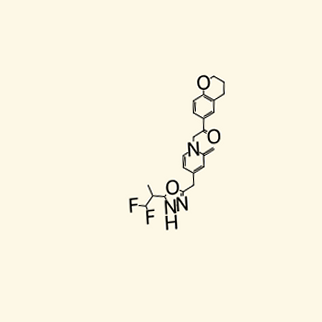 C=C1C=C(CC2=NNC(C(C)C(F)F)O2)C=CN1CC(=O)c1ccc2c(c1)CCCO2